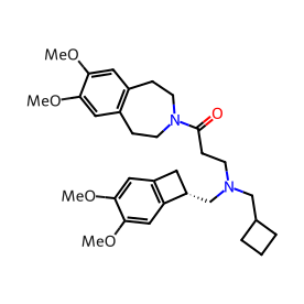 COc1cc2c(cc1OC)CCN(C(=O)CCN(CC1CCC1)C[C@H]1Cc3cc(OC)c(OC)cc31)CC2